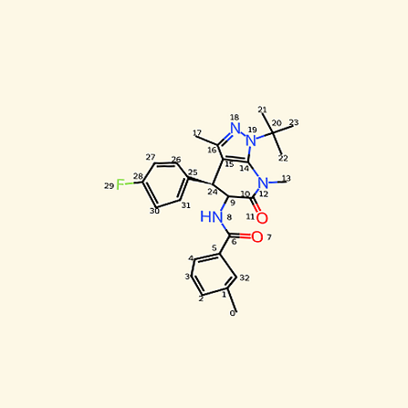 Cc1cccc(C(=O)NC2C(=O)N(C)c3c(c(C)nn3C(C)(C)C)[C@@H]2c2ccc(F)cc2)c1